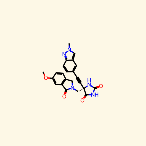 COc1ccc2c(c1)C(=O)N(C[C@]1(C#Cc3ccc4nn(C)cc4c3)NC(=O)NC1=O)C2